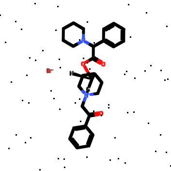 O=C(C[N+]12CCC(CC1)[C@@H](OC(=O)C(c1ccccc1)N1CCCCC1)C2)c1ccccc1.[Br-]